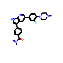 CN1CCN(c2ccc(-c3cnc4[nH]cc(-c5ccc(C(=O)N(C)C)cc5)c4c3)cc2F)CC1